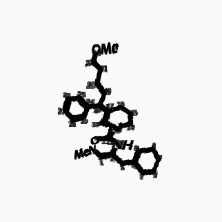 CNCC(CC1CCCCC1)NC(=O)N1CCCC(C(CCCCOC)c2ccccc2)C1